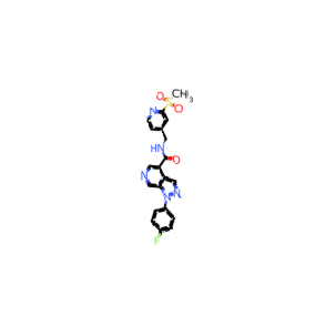 CS(=O)(=O)c1cc(CNC(=O)c2cncc3c2cnn3-c2ccc(F)cc2)ccn1